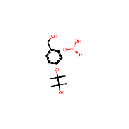 CC(C)(O)C(C)(C)O.OB(O)O.OCc1ccccc1